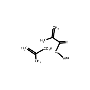 C=C(C)C(=O)O.C=C(C)C(=O)OCCCC